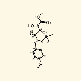 COC(=O)C(O)C1OC(C)(C)CN(Cc2ccc(OC)cc2)C1=O